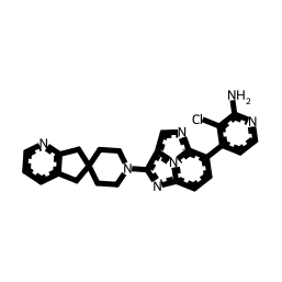 Nc1nccc(-c2ccc3nc(N4CCC5(CC4)Cc4cccnc4C5)c4cnc2n34)c1Cl